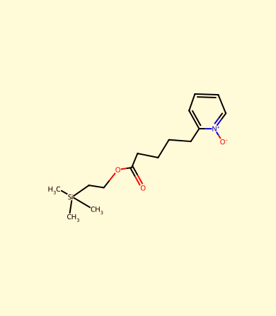 C[Si](C)(C)CCOC(=O)CCCCc1cccc[n+]1[O-]